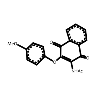 COc1ccc(OC2=C(NC(C)=O)C(=O)c3ccccc3C2=O)cc1